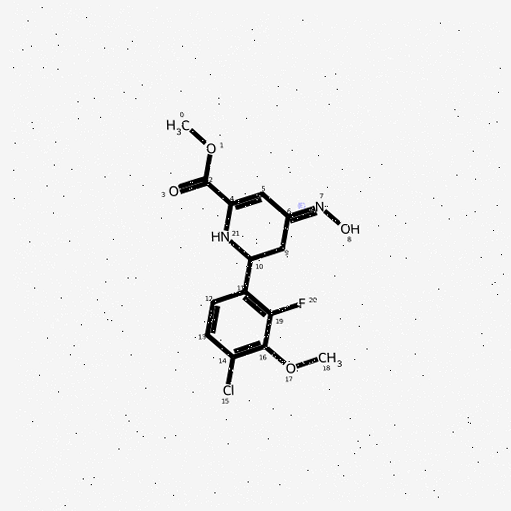 COC(=O)C1=C/C(=N/O)CC(c2ccc(Cl)c(OC)c2F)N1